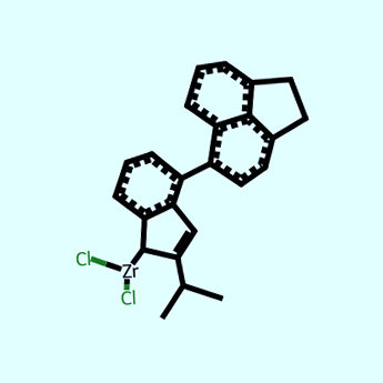 CC(C)C1=Cc2c(-c3ccc4c5c(cccc35)CC4)cccc2[CH]1[Zr]([Cl])[Cl]